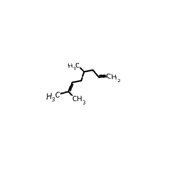 C=CCC(C)CC=C(C)C